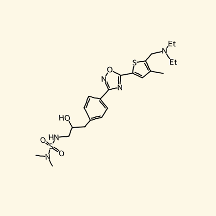 CCN(CC)Cc1sc(-c2nc(-c3ccc(CC(O)CNS(=O)(=O)N(C)C)cc3)no2)cc1C